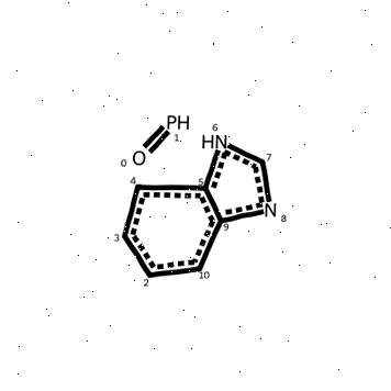 O=P.c1ccc2[nH]cnc2c1